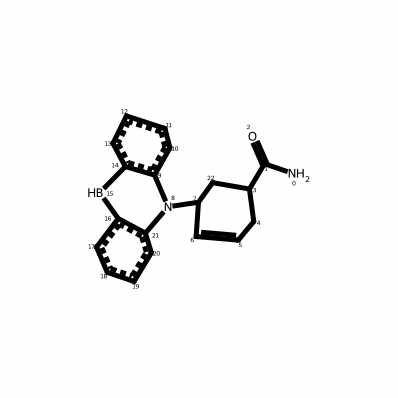 NC(=O)C1CC=CC(N2c3ccccc3Bc3ccccc32)C1